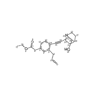 C=CCc1cc(CC(=O)OCC)ccc1C#CC1C(O)C2CCN1CC2